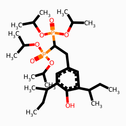 CCC(C)c1cc(CC(P(=O)(OC(C)C)OC(C)C)P(=O)(OC(C)C)OC(C)C)cc(C(C)CC)c1O